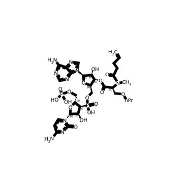 C=CCCC(=O)N(C)[C@@H](COCCC)C(=O)O[C@H]1[C@@H](O)[C@H](n2cnc3c(N)ncnc32)O[C@@H]1COP(=O)(O)[C@H]1[C@@H](O)[C@H](n2ccc(N)nc2=O)O[C@@H]1COP(=O)(O)O